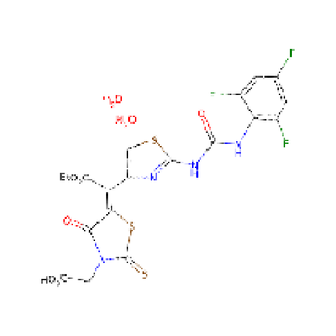 CCOC(=O)C(=C1SC(=S)N(CC(=O)O)C1=O)c1csc(NC(=O)Nc2c(F)cc(F)cc2F)n1.O.O